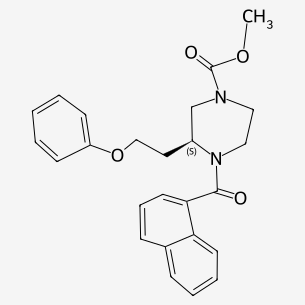 COC(=O)N1CCN(C(=O)c2cccc3ccccc23)[C@@H](CCOc2ccccc2)C1